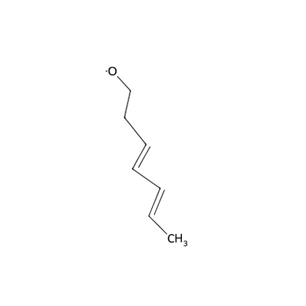 CC=CC=CCC[O]